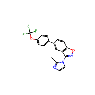 Cc1nccn1-c1noc2ccc(-c3ccc(OC(F)(F)F)cc3)cc12